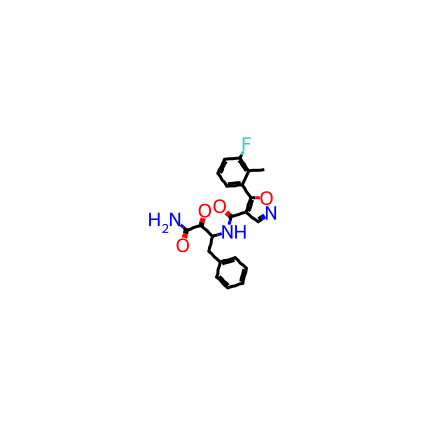 Cc1c(F)cccc1-c1oncc1C(=O)NC(Cc1ccccc1)C(=O)C(N)=O